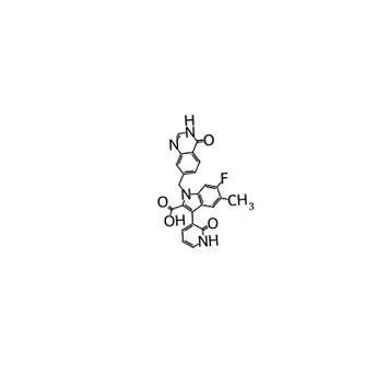 Cc1cc2c(-c3ccc[nH]c3=O)c(C(=O)O)n(Cc3ccc4c(=O)[nH]cnc4c3)c2cc1F